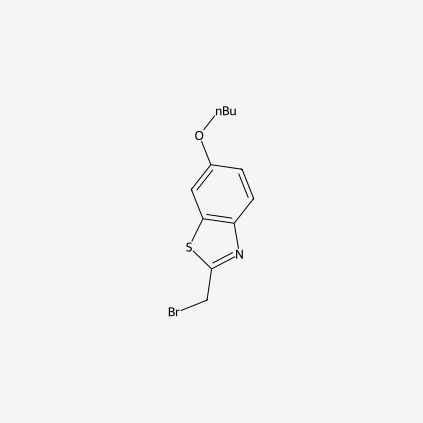 CCCCOc1ccc2nc(CBr)sc2c1